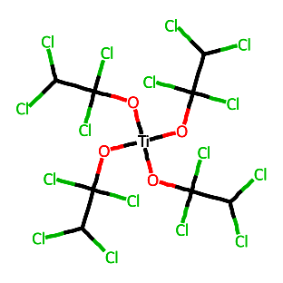 ClC(Cl)C(Cl)(Cl)[O][Ti]([O]C(Cl)(Cl)C(Cl)Cl)([O]C(Cl)(Cl)C(Cl)Cl)[O]C(Cl)(Cl)C(Cl)Cl